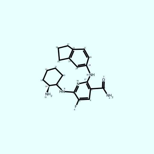 NC(=O)c1cc(F)c(NC2CCCC[C@@H]2N)nc1Nc1ccc2c(c1)CCC2